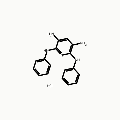 Cl.Nc1cc(N)c(Nc2ccccc2)nc1Nc1ccccc1